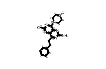 Nc1nc(CCc2ccccc2)c2nc(Cl)nc(N3CC[S+]([O-])CC3)c2n1